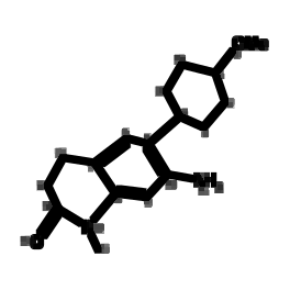 COC1CCC(c2cc3c(cc2N)N(C)C(=O)CC3)CC1